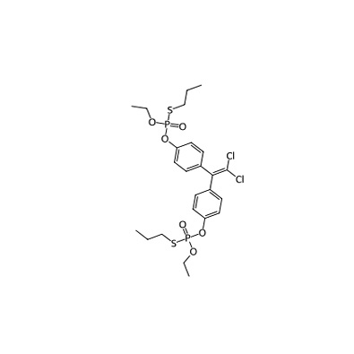 CCCSP(=O)(OCC)Oc1ccc(C(=C(Cl)Cl)c2ccc(OP(=O)(OCC)SCCC)cc2)cc1